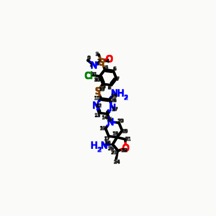 CN=S(C)(=O)c1cccc(Sc2ncc(N3CCC4(CC3)CO[C@@H](C)[C@H]4N)nc2N)c1Cl